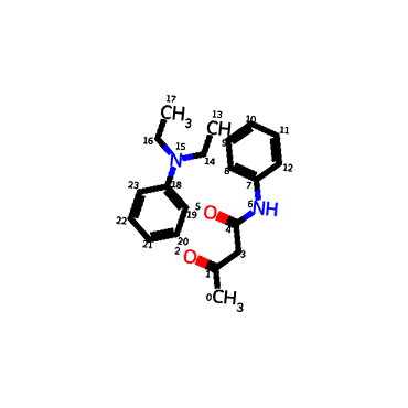 CC(=O)CC(=O)Nc1ccccc1.CCN(CC)c1ccccc1